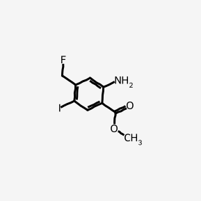 COC(=O)c1cc(I)c(CF)cc1N